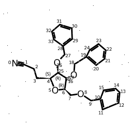 N#CCC[C@@H]1O[C@H](COCc2ccccc2)[C@@H](OCc2ccccc2)[C@@H]1OCc1ccccc1